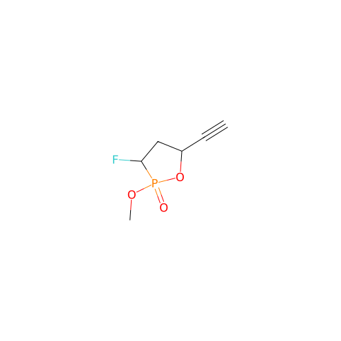 C#CC1CC(F)P(=O)(OC)O1